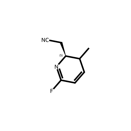 CC1C=CC(F)=N[C@H]1CC#N